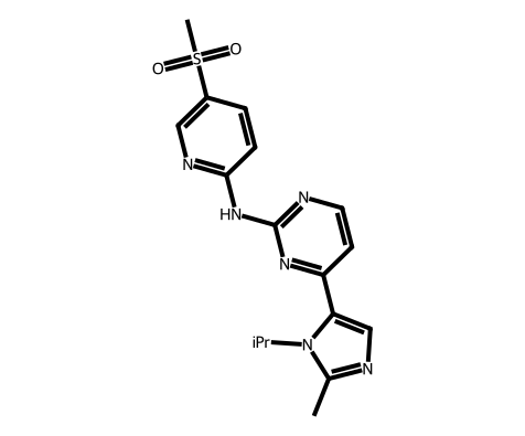 Cc1ncc(-c2ccnc(Nc3ccc(S(C)(=O)=O)cn3)n2)n1C(C)C